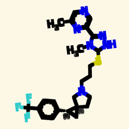 Cc1cncc(C2=NNC(SCCCN3CC[C@]4(C[C@@H]4c4ccc(C(F)(F)F)cc4)C3)N2C)n1